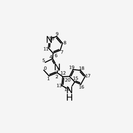 C/C=C(\N=C(/C)c1cccnc1)c1c[nH]c2ccccc12